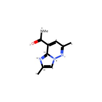 CNC(=O)c1cc(C)nn2cc(C)nc12